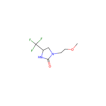 COCCN1CC(C(F)(F)F)NC1=O